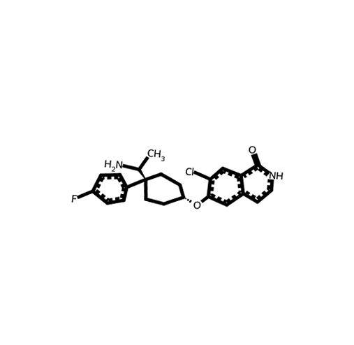 CC(N)[C@]1(c2ccc(F)cc2)CC[C@@H](Oc2cc3cc[nH]c(=O)c3cc2Cl)CC1